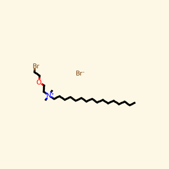 CCCCCCCCCCCCCCCC[N+](C)(C)CCOCCBr.[Br-]